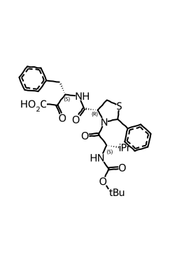 CC(C)[C@H](NC(=O)OC(C)(C)C)C(=O)N1C(c2ccccc2)SC[C@H]1C(=O)N[C@@H](Cc1ccccc1)C(=O)C(=O)O